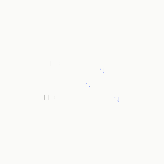 CC(C)n1[c]ncn1